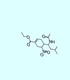 CCOC(=O)C1=CCC(C(CC(C)C)NC(C)=O)C([N+](=O)[O-])C1